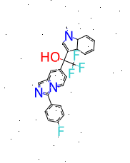 CN1C=C(C(O)(c2ccn3c(-c4ccc(F)cc4)ncc3c2)C(F)(F)F)C2C=CC=CC21